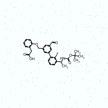 CC(NC(=O)OC(C)(C)C)c1cccc(-c2cc(C=O)cc(COc3ccccc3CC(=O)O)c2)c1F